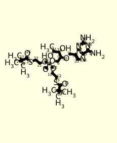 CC(O)[C@H](O)C(COP(=O)(OCCSC(=O)C(C)(C)C)OCCSC(=O)C(C)(C)C)OCc1cnc2c(N)nc(N)nn12